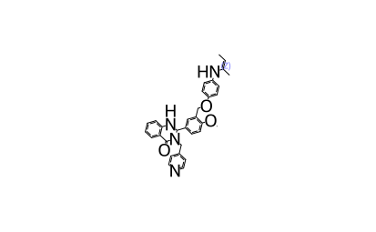 C/C=C(/C)Nc1ccc(OCc2cc(C3Nc4ccccc4C(=O)N3Cc3ccncc3)ccc2OC)cc1